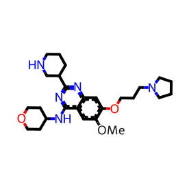 COc1cc2c(NC3CCOCC3)nc(C3CCCNC3)nc2cc1OCCCN1CCCC1